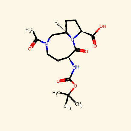 CC(=O)N1CC[C@H](NC(=O)OC(C)(C)C)C(=O)N2[C@H](CC[C@H]2C(=O)O)C1